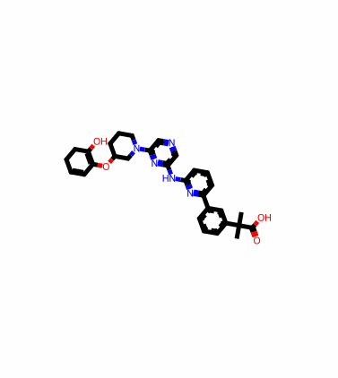 CC(C)(C(=O)O)c1cccc(-c2cccc(Nc3cncc(N4CCCC(OC5=C(O)CCC=C5)C4)n3)n2)c1